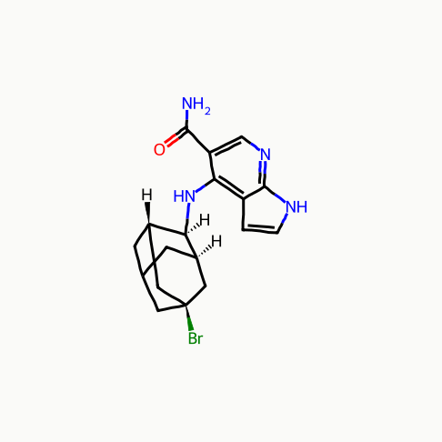 NC(=O)c1cnc2[nH]ccc2c1N[C@H]1[C@@H]2CC3C[C@H]1C[C@@](Br)(C3)C2